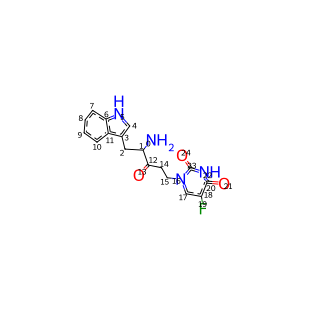 NC(Cc1c[nH]c2ccccc12)C(=O)CCn1cc(F)c(=O)[nH]c1=O